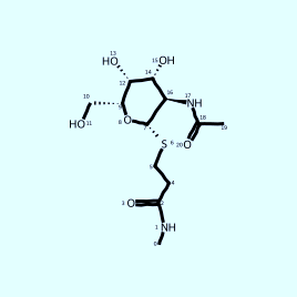 CNC(=O)CCS[C@@H]1O[C@H](CO)[C@H](O)[C@H](O)[C@H]1NC(C)=O